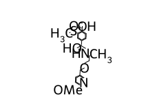 COc1ccc(COCCC(C)NCC(O)c2ccc(O)c([S+](C)[O-])c2)cn1